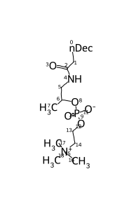 CCCCCCCCCCCC(=O)NCC(C)OP(=O)([O-])OCC[N+](C)(C)C